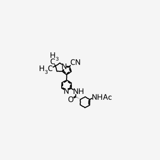 CC(=O)NC1=CCC[C@H](C(=O)Nc2cc(-c3cc(C#N)n4c3CC(C)(C)C4)ccn2)C1